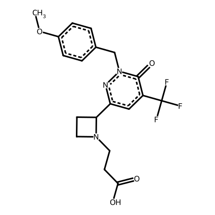 COc1ccc(Cn2nc(C3CCN3CCC(=O)O)cc(C(F)(F)F)c2=O)cc1